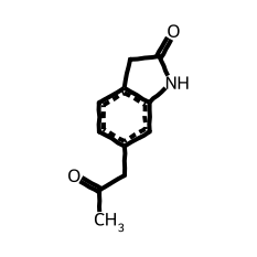 CC(=O)Cc1ccc2c(c1)NC(=O)C2